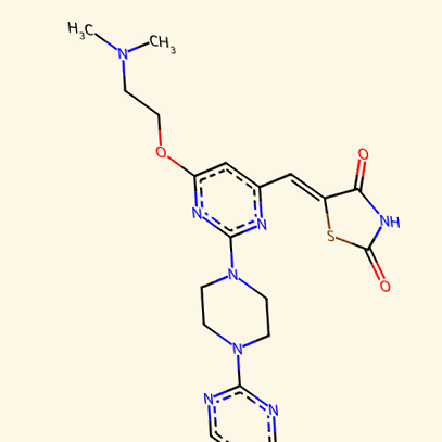 CN(C)CCOc1cc(/C=C2\SC(=O)NC2=O)nc(N2CCN(c3ncccn3)CC2)n1